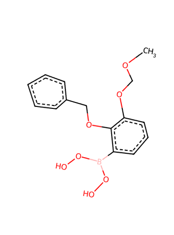 COCOc1cccc(B(OO)OO)c1OCc1ccccc1